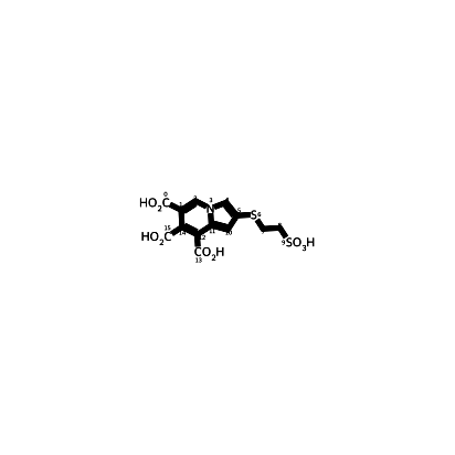 O=C(O)c1cn2cc(SCCS(=O)(=O)O)[c]c2c(C(=O)O)c1C(=O)O